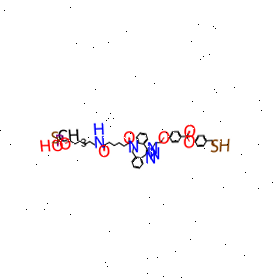 CP(O)(=S)OCCCCCCNC(=O)CCCCC(=O)N1Cc2ccccc2-c2nnn(CCOc3ccc(C(=O)Oc4ccc(CS)cc4)cc3)c2-c2ccccc21